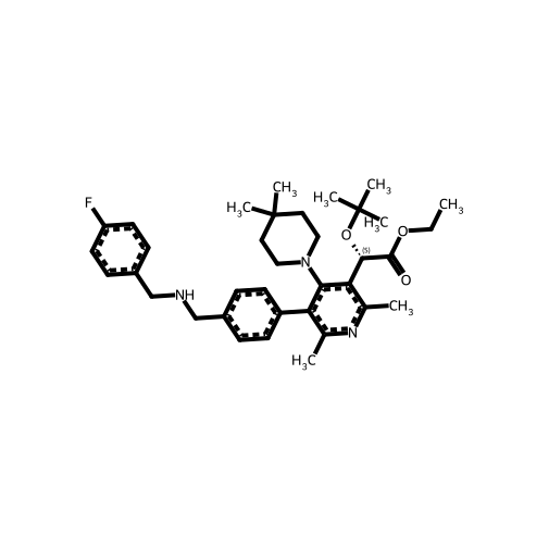 CCOC(=O)[C@@H](OC(C)(C)C)c1c(C)nc(C)c(-c2ccc(CNCc3ccc(F)cc3)cc2)c1N1CCC(C)(C)CC1